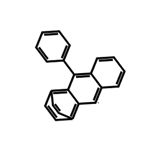 [c]1c2ccccc2c(-c2ccccc2)c2c3ccc(cc3)c12